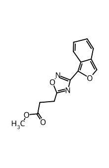 COC(=O)CCc1nc(-c2occ3ccccc23)no1